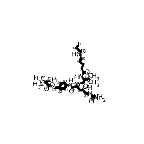 CC(C)C(NC(=O)CCCCNC(=O)CI)C(=O)NC(CCCNC(N)=O)C(=O)Nc1ccc(COC(=O)C(C)(C)C)cc1